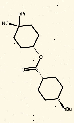 CCCC[C@H]1CC[C@H](C(=O)O[C@H]2CC[C@@](C#N)(CCC)CC2)CC1